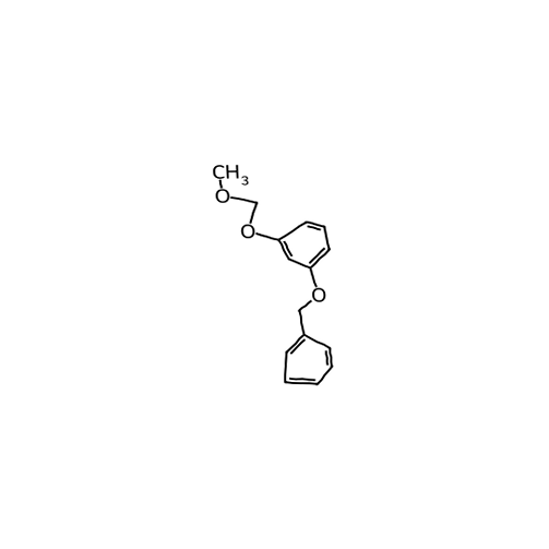 COCOc1cccc(OCc2ccccc2)c1